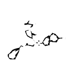 C[C@@H](C(=O)O)N1CC[C@H](N(CC(=O)OCc2ccccc2)S(=O)(=O)c2ccc3cc(Cl)ccc3c2)C1=O